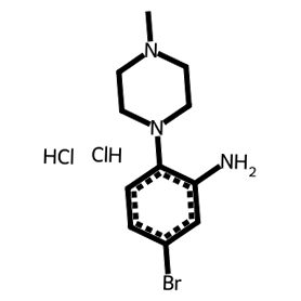 CN1CCN(c2ccc(Br)cc2N)CC1.Cl.Cl